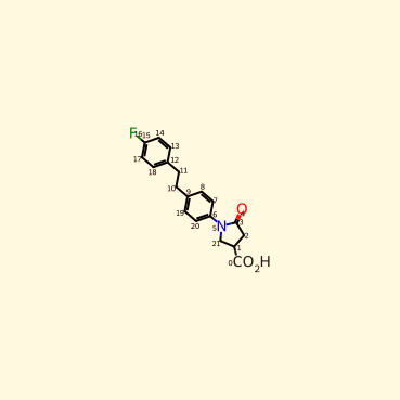 O=C(O)C1CC(=O)N(c2ccc(CCc3ccc(F)cc3)cc2)C1